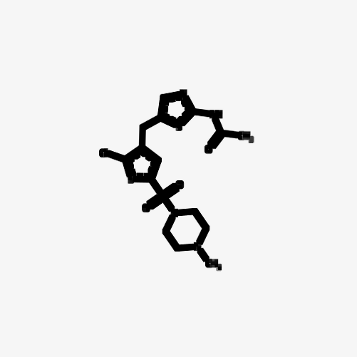 CC(=O)Nc1ncc(Cc2cc(S(=O)(=O)N3CCN(C)CC3)sc2Cl)s1